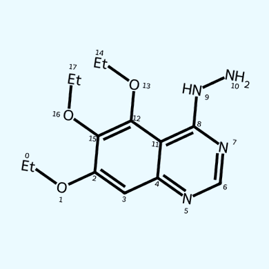 CCOc1cc2ncnc(NN)c2c(OCC)c1OCC